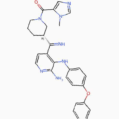 Cn1cncc1C(=O)N1CCC[C@@H](C(=N)c2ccnc(N)c2Nc2ccc(Oc3ccccc3)cc2)C1